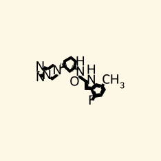 Cc1ccc(F)c2cc(C(=O)N[C@@H]3CCC[C@H](N4CCn5ncnc5C4)C3)[nH]c12